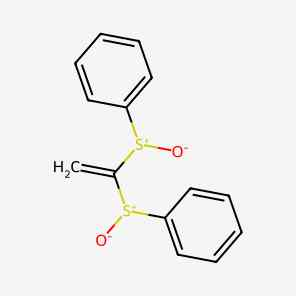 C=C([S+]([O-])c1ccccc1)[S+]([O-])c1ccccc1